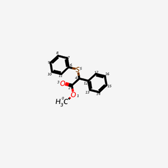 COC(=O)C(Sc1ccccc1)c1ccccc1